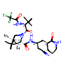 CC(C)(C)[C@H](NC(=O)C(F)(F)F)C(=O)N1C[C@H]2[C@@H]([C@H]1C(=O)N[C@H](CC#N)C[C@@H]1CCCNC1=O)C2(C)C